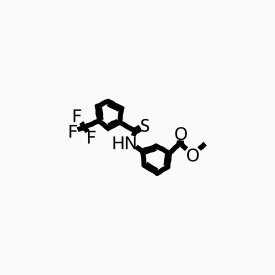 COC(=O)c1cccc(NC(=S)c2cccc(C(F)(F)F)c2)c1